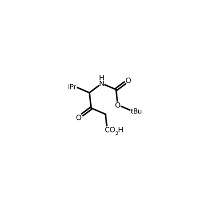 CC(C)C(NC(=O)OC(C)(C)C)C(=O)CC(=O)O